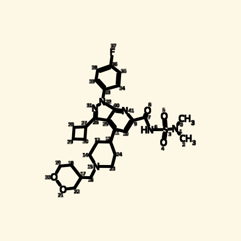 CN(C)S(=O)(=O)NC(=O)c1cc(C2CCN(CC3CCOOC3)CC2)c2c(C3CCC3)nn(-c3ccc(F)cc3)c2n1